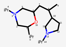 CC(C)C1CN(C(C)C)CC(CC(C)C2CCN(C(C)C)C2)O1